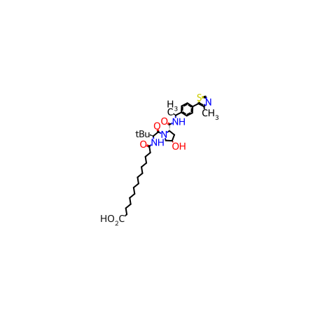 Cc1ncsc1-c1ccc([C@H](C)NC(=O)[C@@H]2C[C@@H](O)CN2C(=O)[C@@H](NC(=O)CCCCCCCCCCCCCC(=O)O)C(C)(C)C)cc1